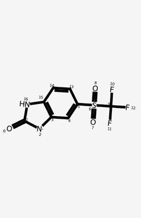 O=C1[N]c2cc(S(=O)(=O)C(F)(F)F)ccc2N1